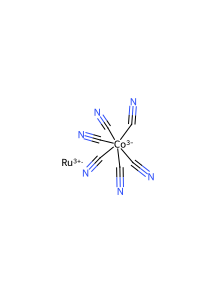 N#[C][Co-3]([C]#N)([C]#N)([C]#N)([C]#N)[C]#N.[Ru+3]